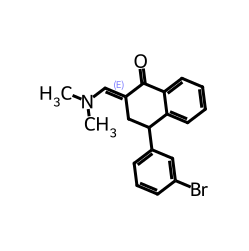 CN(C)/C=C1\CC(c2cccc(Br)c2)c2ccccc2C1=O